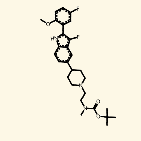 COc1ccc(F)cc1-c1[nH]c2ccc(C3CCN(CCN(C)C(=O)OC(C)(C)C)CC3)cc2c1F